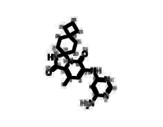 Cc1cc(Nc2cc(N)ncn2)c(=O)n2c1C(=O)NC21CCC2(CCC2)CC1